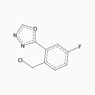 Fc1ccc(CCl)c(-c2nnco2)c1